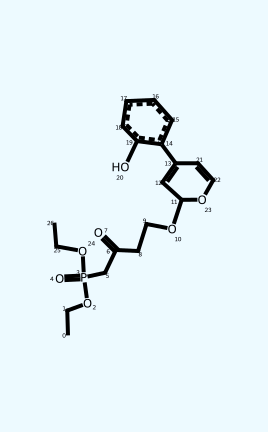 CCOP(=O)(CC(=O)CCOC1C=C(c2ccccc2O)C=CO1)OCC